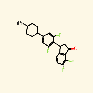 CCCC1CCC(c2cc(F)c(C3CC(=O)c4c3ccc(F)c4F)c(F)c2)CC1